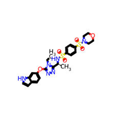 CCn1c(Oc2ccc3cc[nH]c3c2)nnc1[C@@H](C)NS(=O)(=O)c1ccc(S(=O)(=O)N2CCOCC2)cc1